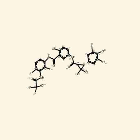 O=C(Nc1ccc(F)c(NC(=O)C(F)(F)Cl)c1F)c1cc(NC(=O)C2[C@H](c3cc(Cl)c(Cl)c(Cl)c3)C2(Cl)Cl)ccc1Cl